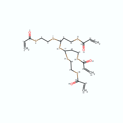 C=CC(=O)SCCSC(CCSC(=O)C=C)SC(CCSC(=O)C=C)SCCSC(=O)C=C